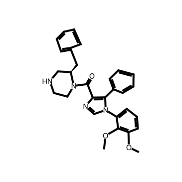 COc1cccc(-n2cnc(C(=O)N3CCNC[C@H]3Cc3ccccc3)c2-c2ccccc2)c1OC